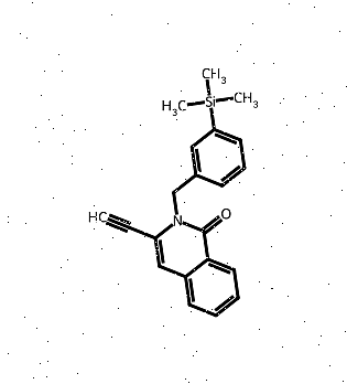 C#Cc1cc2ccccc2c(=O)n1Cc1cccc([Si](C)(C)C)c1